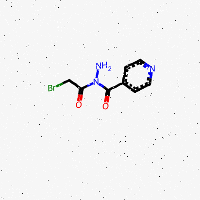 NN(C(=O)CBr)C(=O)c1ccncc1